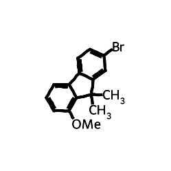 COc1cccc2c1C(C)(C)c1cc(Br)ccc1-2